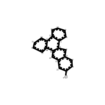 Clc1ccc2cc3c4ccccc4c4ccccc4c3cc2c1